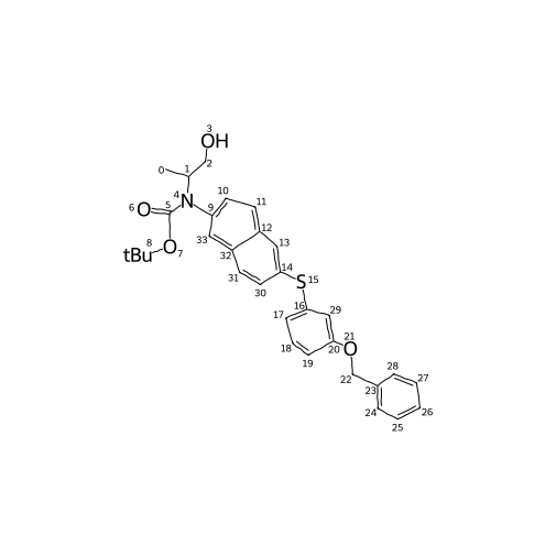 CC(CO)N(C(=O)OC(C)(C)C)c1ccc2cc(Sc3cccc(OCc4ccccc4)c3)ccc2c1